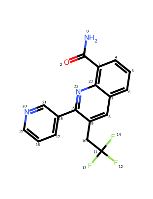 NC(=O)c1cccc2cc([CH]C(F)(F)F)c(-c3cccnc3)nc12